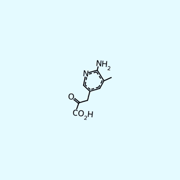 Cc1cc(CC(=O)C(=O)O)cnc1N